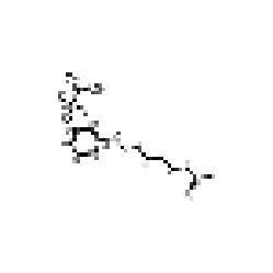 CC(=O)CCCCCCCc1cccc(OC(C)(C)C(=O)O)c1